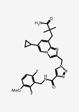 COc1ccc(F)c(CNC(=O)c2cn(Cc3cn4cc(C5CC5)cc(CC(C)(C)C(N)=O)c4n3)nn2)c1F